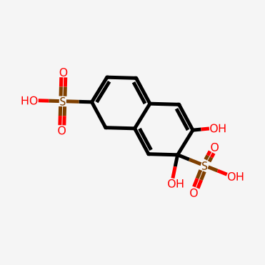 O=S(=O)(O)C1=CC=C2C=C(O)C(O)(S(=O)(=O)O)C=C2C1